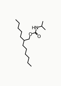 CCCCCCC(CCCCC)COC(=O)NC(C)C